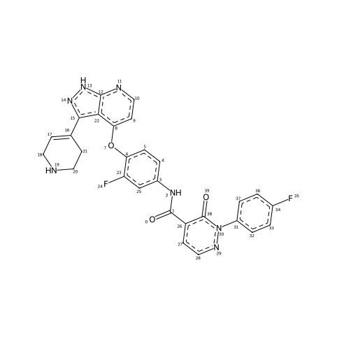 O=C(Nc1ccc(Oc2ccnc3[nH]nc(C4=CCNCC4)c23)c(F)c1)c1ccnn(-c2ccc(F)cc2)c1=O